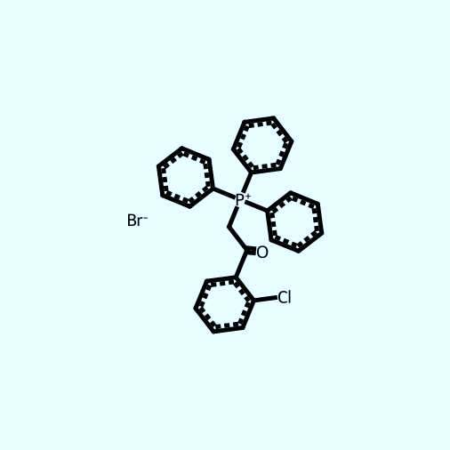 O=C(C[P+](c1ccccc1)(c1ccccc1)c1ccccc1)c1ccccc1Cl.[Br-]